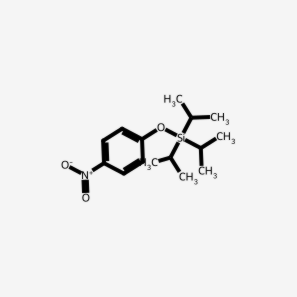 CC(C)[Si](Oc1ccc([N+](=O)[O-])cc1)(C(C)C)C(C)C